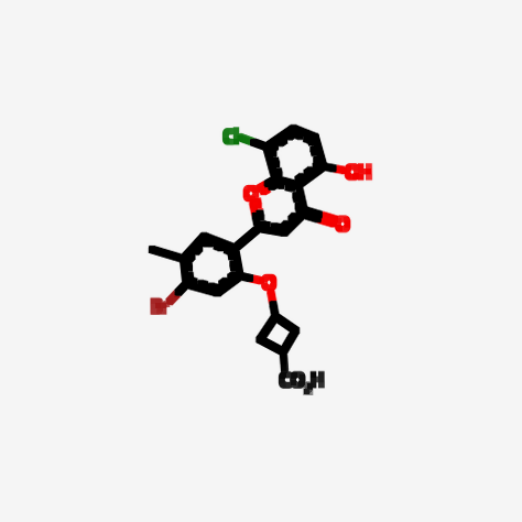 Cc1cc(-c2cc(=O)c3c(O)ccc(Cl)c3o2)c(OC2CC(C(=O)O)C2)cc1Br